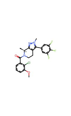 COc1cccc(C(=O)N2CCc3c(nn(C)c3-c3cc(F)c(F)c(F)c3)[C@@H]2C)c1Cl